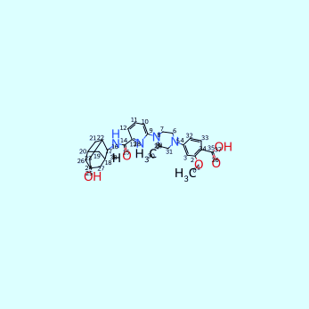 COc1cc(N2CCN(c3cccc(C(=O)N[C@H]4C5CC6CC4C[C@](O)(C6)C5)n3)[C@H](C)C2)ccc1C(=O)O